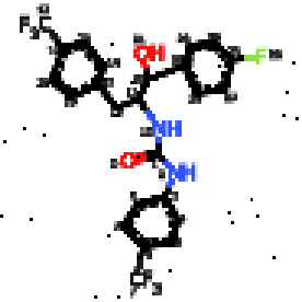 O=C(Nc1ccc(C(F)(F)F)cc1)NC(Cc1ccc(C(F)(F)F)cc1)C(O)c1ccc(F)cc1